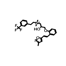 Cc1cc(C=Cc2ccccc2OCC(O)C[N+](C)(C)CCc2cccc(C(F)(F)F)c2)on1